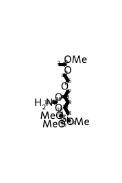 COC(C)OCCOCC(CCC[Si](OC)(OC)OC)OC(N)=O